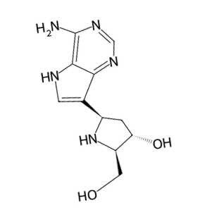 Nc1ncnc2c([C@H]3C[C@H](O)[C@@H](CO)N3)c[nH]c12